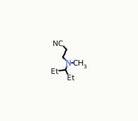 CCC(CC)N(C)CCC#N